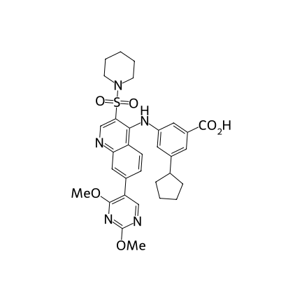 COc1ncc(-c2ccc3c(Nc4cc(C(=O)O)cc(C5CCCC5)c4)c(S(=O)(=O)N4CCCCC4)cnc3c2)c(OC)n1